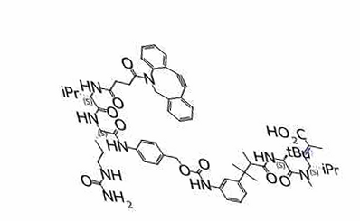 C/C(=C\[C@H](C(C)C)N(C)C(=O)[C@@H](NC(=O)C(C)C(C)(C)c1cccc(NC(=O)OCc2ccc(NC(=O)[C@H](CCCNC(N)=O)NC(=O)[C@@H](NC(=O)CCC(=O)N3Cc4ccccc4C#Cc4ccccc43)C(C)C)cc2)c1)C(C)(C)C)C(=O)O